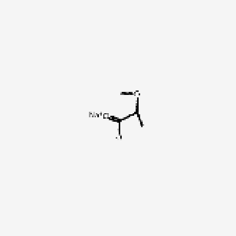 COC(C)C(=O)[O-].[Na+]